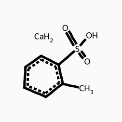 Cc1ccccc1S(=O)(=O)O.[CaH2]